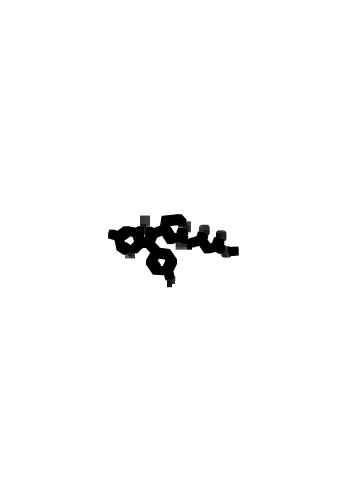 COC(=O)CC(=O)Nc1cc(-c2[nH]c3cc(C)cnc3c2-c2ccc(F)cc2)ccn1